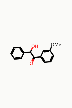 COc1cccc(C(=O)C(O)c2ccccc2)c1